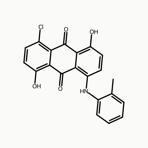 Cc1ccccc1Nc1ccc(O)c2c1C(=O)c1c(O)ccc(Cl)c1C2=O